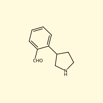 O=Cc1ccccc1C1CCNC1